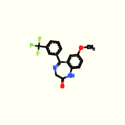 COc1ccc2c(c1)C(c1cccc(C(F)(F)F)c1)=NCC(=O)N2